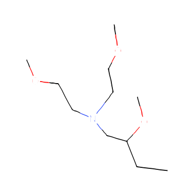 CCC(CN(CCOC)CCOC)OC